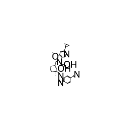 COc1cc(C2CC2)ncc1N(CC1CCC[C@](C)(Cn2cnc3ccc(C#N)cc32)C1)C(O)O